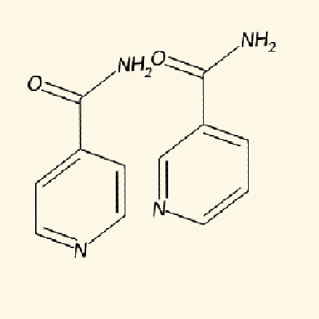 NC(=O)c1cccnc1.NC(=O)c1ccncc1